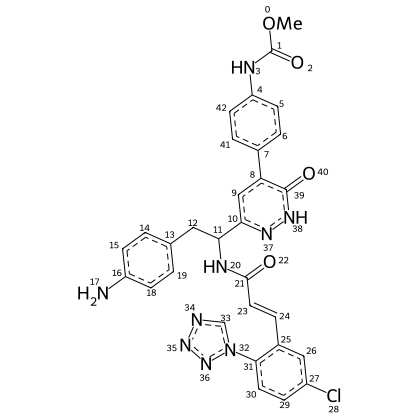 COC(=O)Nc1ccc(-c2cc(C(Cc3ccc(N)cc3)NC(=O)C=Cc3cc(Cl)ccc3-n3cnnn3)n[nH]c2=O)cc1